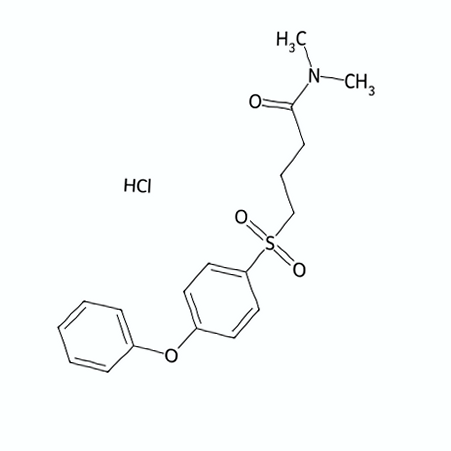 CN(C)C(=O)CCCS(=O)(=O)c1ccc(Oc2ccccc2)cc1.Cl